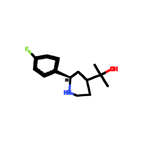 CC(C)(O)C1CCN[C@@H](c2ccc(F)cc2)C1